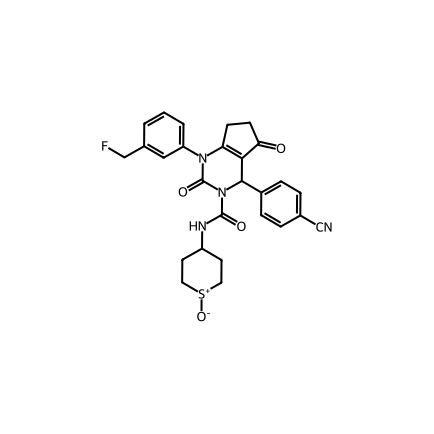 N#Cc1ccc(C2C3=C(CCC3=O)N(c3cccc(CF)c3)C(=O)N2C(=O)NC2CC[S+]([O-])CC2)cc1